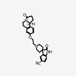 N#Cc1ccc2c(c1)C1(CCN(CCOc3ccc4c(c3)CCN3C(=O)CC[C@@H]43)CC1)C(=O)N2